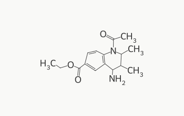 CCOC(=O)c1ccc2c(c1)C(N)C(C)C(C)N2C(C)=O